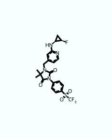 CC1(C)C(=O)N(c2ccc(S(=O)(=O)C(F)(F)F)cc2)C(=O)N1Cc1ccnc(N[C@H]2C[C@H]2F)c1